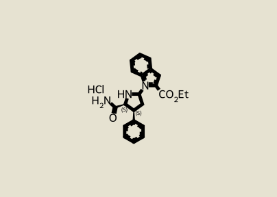 CCOC(=O)c1cc2ccccc2n1C1C[C@@H](c2ccccc2)[C@@H](C(N)=O)N1.Cl